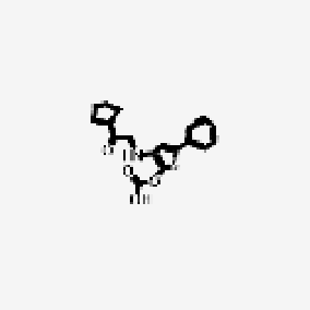 O=C(O)Oc1sc(-c2ccccc2)cc1NCC(=O)C1CCCC1